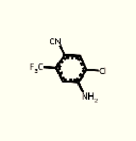 [C-]#[N+]c1cc(Cl)c(N)cc1C(F)(F)F